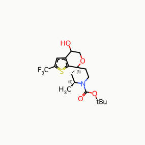 C[C@H]1C[C@@]2(CCN1C(=O)OC(C)(C)C)OCC(O)c1cc(C(F)(F)F)sc12